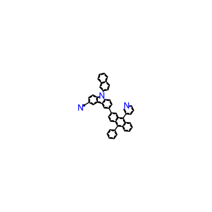 N#Cc1ccc2c(c1)c1cc(-c3ccc4c(-c5ccccc5)c5ccccc5c(-c5cccnc5)c4c3)ccc1n2-c1ccc2ccccc2c1